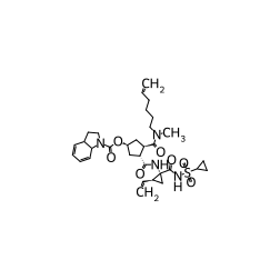 C=CCCCCN(C)C(=O)[C@@H]1C[C@H](OC(=O)N2CCC3C=CC=CC32)C[C@H]1C(=O)N[C@]1(C(=O)NS(=O)(=O)C2CC2)C[C@H]1C=C